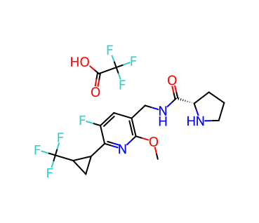 COc1nc(C2CC2C(F)(F)F)c(F)cc1CNC(=O)[C@@H]1CCCN1.O=C(O)C(F)(F)F